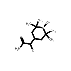 CC1(C)CC(C(Cl)C(N)=O)CC(C)(C)N1O